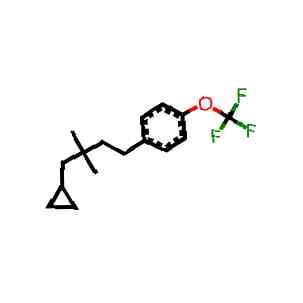 CC(C)(CCc1ccc(OC(F)(F)F)cc1)CC1CC1